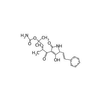 CC(CC(C)(C)OC(N)=O)C(=O)C1=C(O)C(C=Cc2ccccc2)NC1=O